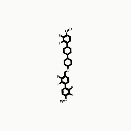 CCOc1ccc(-c2ccc(COC3CCC(C4CCC(c5ccc(OCC)c(F)c5F)CC4)CC3)c(F)c2F)c(F)c1F